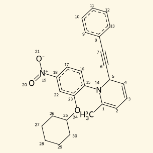 CC1=CC=CC(C#Cc2ccccc2)N1c1ccc([N+](=O)[O-])cc1OC1CCCCC1